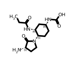 CCC(=O)N[C@@H]1C[C@H](NC(=O)O)CC[C@@H]1N1CC[C@H](N)C1=O